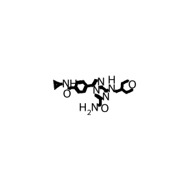 NC(=O)c1cn2c(-c3ccc(C(=O)NC4CC4)cc3)cnc2c(NCC2CCOCC2)n1